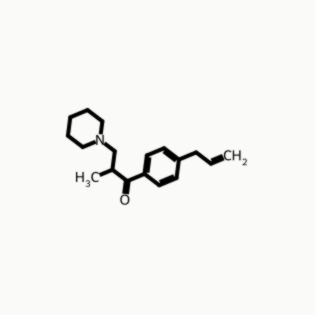 C=CCc1ccc(C(=O)C(C)CN2CCCCC2)cc1